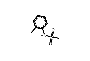 Cc1cc[c]cc1NS(C)(=O)=O